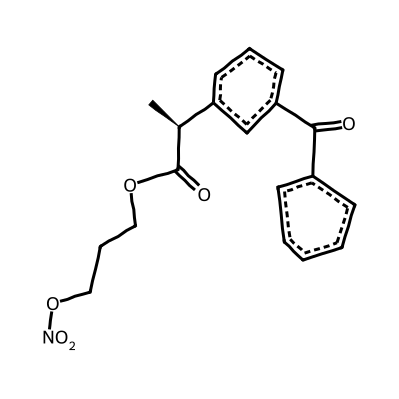 C[C@H](C(=O)OCCCO[N+](=O)[O-])c1cccc(C(=O)c2ccccc2)c1